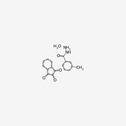 Cc1cccc(C(=O)NN)c1.O.O=c1c(=O)c2ccccc2c1=O